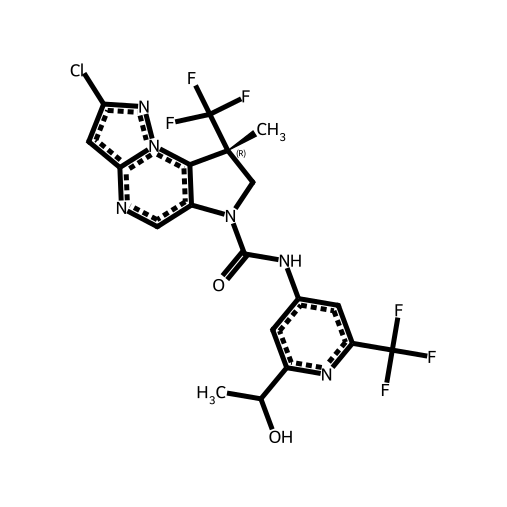 CC(O)c1cc(NC(=O)N2C[C@@](C)(C(F)(F)F)c3c2cnc2cc(Cl)nn32)cc(C(F)(F)F)n1